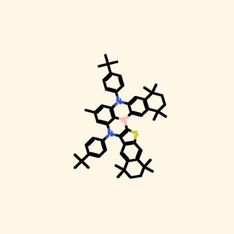 Cc1cc2c3c(c1)N(c1ccc(C(C)(C)C)cc1)c1c(sc4cc5c(cc14)C(C)(C)CCC5(C)C)B3c1cc3c(cc1N2c1ccc(C(C)(C)C)cc1)C(C)(C)CCC3(C)C